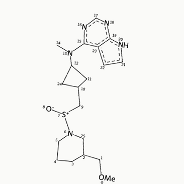 COCC1CCCN([S+]([O-])CC2CC(N(C)c3ncnc4[nH]ccc34)C2)C1